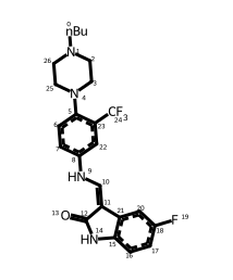 CCCCN1CCN(c2ccc(NC=C3C(=O)Nc4ccc(F)cc43)cc2C(F)(F)F)CC1